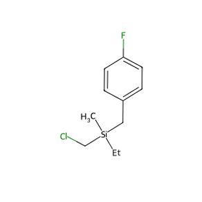 CC[Si](C)(CCl)Cc1ccc(F)cc1